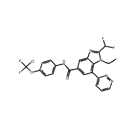 CCn1c(C(F)F)nc2cc(C(=O)Nc3ccc(OC(F)(F)Cl)cc3)cc(-c3cccnn3)c21